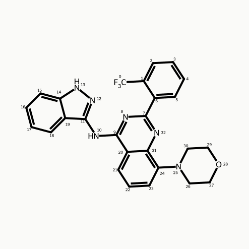 FC(F)(F)c1ccccc1-c1nc(Nc2n[nH]c3ccccc23)c2cccc(N3CCOCC3)c2n1